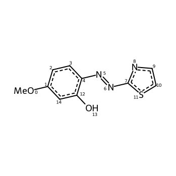 COc1ccc(/N=N/c2nccs2)c(O)c1